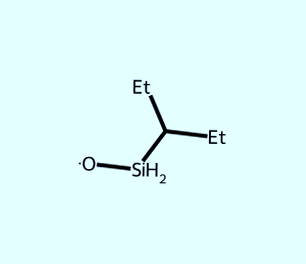 CCC(CC)[SiH2][O]